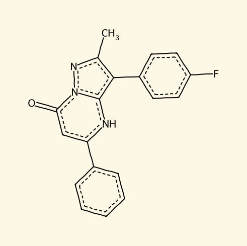 Cc1nn2c(=O)cc(-c3ccccc3)[nH]c2c1-c1ccc(F)cc1